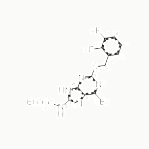 CCOC(=O)Nc1nc2c(Br)nc(SCc3cccc(F)c3F)nc2[nH]1